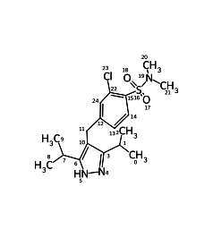 CC(C)c1n[nH]c(C(C)C)c1Cc1ccc(S(=O)(=O)N(C)C)c(Cl)c1